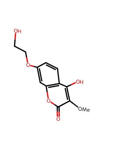 COc1c(O)c2ccc(OCCO)cc2oc1=O